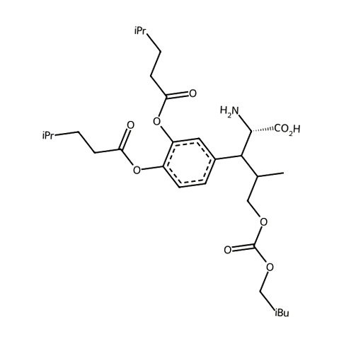 CCC(C)COC(=O)OCC(C)C(c1ccc(OC(=O)CCC(C)C)c(OC(=O)CCC(C)C)c1)[C@H](N)C(=O)O